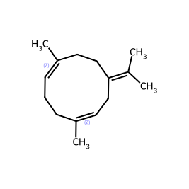 CC(C)=C1C/C=C(/C)CC/C=C(/C)CC1